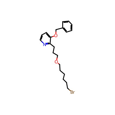 BrCCCCCCOCCCc1ncccc1OCc1ccccc1